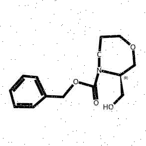 O=C(OCc1ccccc1)N1CCCOC[C@H]1CO